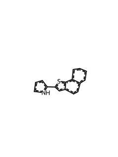 c1c[nH]c(-c2cc3ccc4ccccc4c3s2)c1